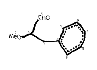 COC(C=O)Cc1ccccc1